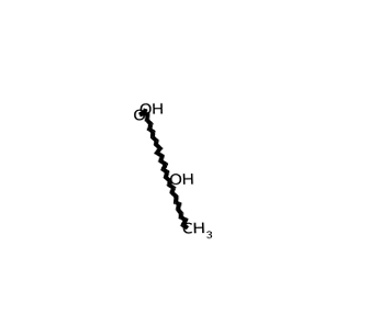 CCCCCCCCCCCCC(O)CCCCCCCCCCCCCCCCC(=O)O